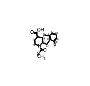 COC(=O)N1CCC(C(=O)O)CC1Cc1c(F)cccc1F